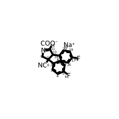 N#CC1(c2ccc(F)cc2)CN=C(C(=O)[O-])C1c1ccc(F)cc1.[Na+]